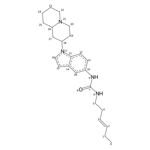 CCC=CCCNC(=O)Nc1ccc2c(ccn2C2CCN3CCCCC3C2)c1